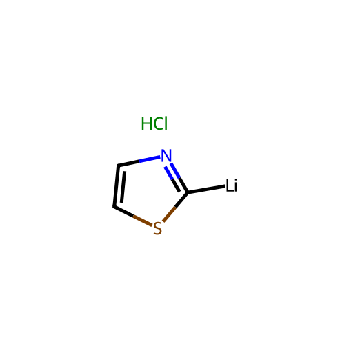 Cl.[Li][c]1nccs1